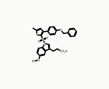 CCOc1ccc2c(c1)c(CCC(=O)O)cn2S(=O)(=O)c1sc(C)cc1-c1ccc(OCc2ccccc2)cc1